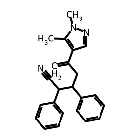 C=C(CC(c1ccccc1)C(C#N)c1ccccc1)c1cnn(C)c1C